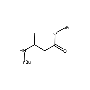 CCCCNC(C)CC(=O)OC(C)C